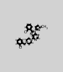 Cn1ccc(-n2c(-c3ccccc3Cl)nc3c(N4CCN(Cc5ccccc5Cl)CC4)ncnc32)n1